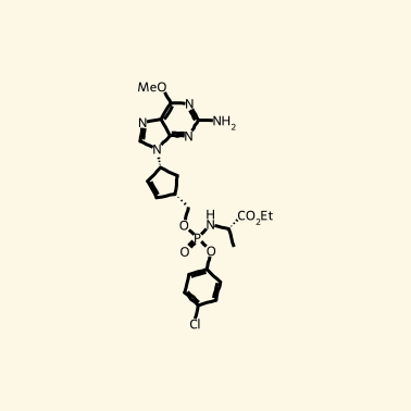 CCOC(=O)[C@H](C)NP(=O)(OC[C@@H]1C=C[C@H](n2cnc3c(OC)nc(N)nc32)C1)Oc1ccc(Cl)cc1